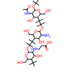 CC(=O)NC1C(OC(C)(C)C)OC(CO)C(C(C)(C)C(C)(C)OC2OC(CO)C(C(C)(C)C(C)(C)OC3OC(CO)C(C(C)(C)C)C(O)C3NCCC(=O)O)C(O)C2N)C1O